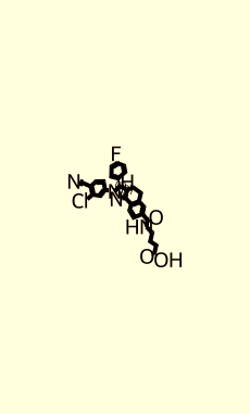 N#Cc1ccc(N2N=C3c4ccc(C(=O)NCCCC(=O)O)cc4CC[C@@H]3[C@@H]2c2ccc(F)cc2)cc1Cl